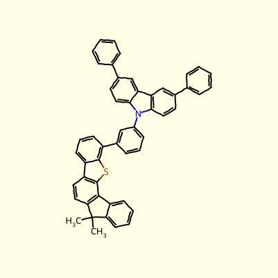 CC1(C)c2ccccc2-c2c1ccc1c2sc2c(-c3cccc(-n4c5ccc(-c6ccccc6)cc5c5cc(-c6ccccc6)ccc54)c3)cccc21